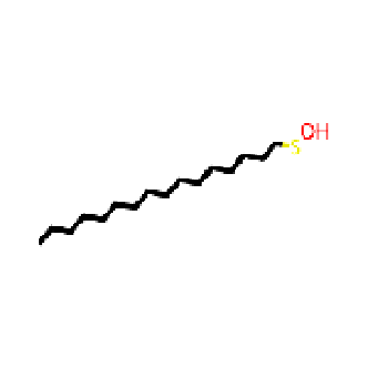 CCCCCCCCCCCCCCCCSO